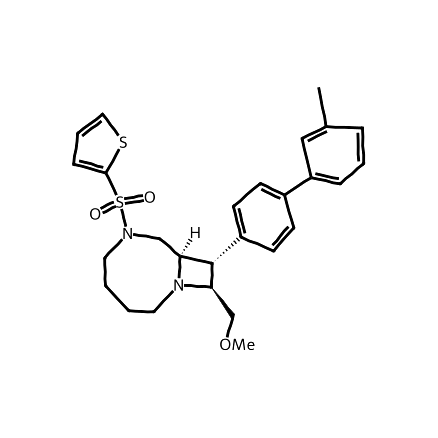 COC[C@@H]1[C@@H](c2ccc(-c3cccc(C)c3)cc2)[C@@H]2CN(S(=O)(=O)c3cccs3)CCCCN12